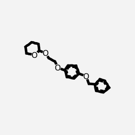 c1ccc(COc2ccc(OCCOC3CCCCO3)cc2)cc1